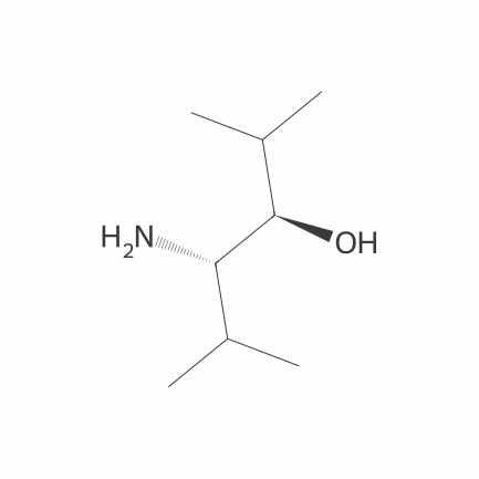 CC(C)[C@@H](O)[C@@H](N)C(C)C